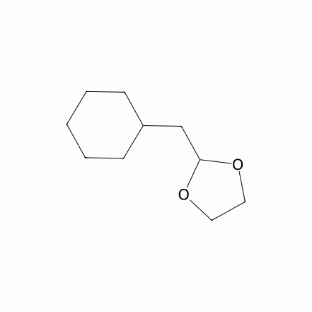 C1CCC(CC2OCCO2)CC1